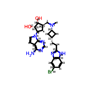 CN(C[C@H]1C[C@@H](n2ccc3c(N)ncnc32)[C@H](O)[C@@H]1O)[C@H]1C[C@@H](CCc2nc3cc(Br)ccc3[nH]2)C1